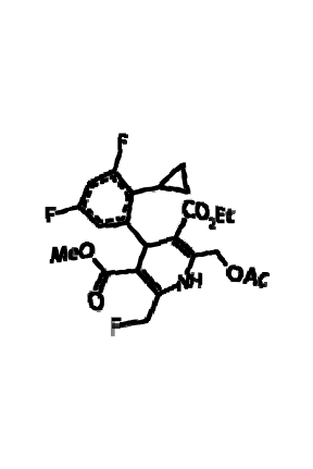 CCOC(=O)C1=C(COC(C)=O)NC(CF)=C(C(=O)OC)C1c1cc(F)cc(F)c1C1CC1